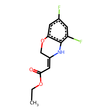 CCOC(=O)/C=C1\COc2cc(F)cc(F)c2N1